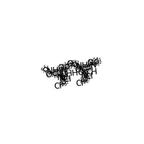 O=C(Nc1ccccc1)c1ccc2c(N=Nc3cc(Cl)ccc3Cl)c(O)c(C(=O)Nc3ccc(Oc4ccc(NC(=O)c5cc6cc(C(=O)Nc7ccccc7)ccc6c(N=Nc6cc(Cl)ccc6Cl)c5O)cc4)cc3)cc2c1